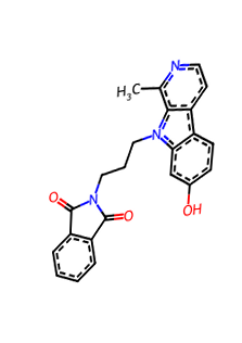 Cc1nccc2c3ccc(O)cc3n(CCCN3C(=O)c4ccccc4C3=O)c12